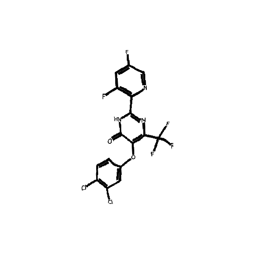 O=c1[nH]c(-c2ncc(F)cc2F)nc(C(F)(F)F)c1Oc1ccc(Cl)c(Cl)c1